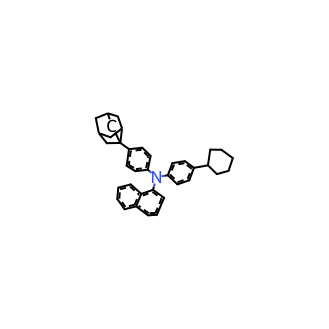 c1ccc2c(N(c3ccc(C4CCCCC4)cc3)c3ccc(C45CC6CC(CC4C6)C5)cc3)cccc2c1